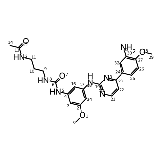 COc1cc(NC(=O)NCCCNC(C)=O)cc(Nc2nccc(-c3ccc(OC)c(N)c3)n2)c1